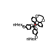 CCCCCCOc1ccc(C(=O)Oc2cccc3c2-c2c(cccc2OC(=O)c2ccc(OCCCCCC)cc2)OCCCO3)cc1